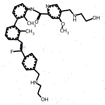 COc1cc(C(=O)Nc2cccc(-c3cccc(/C=C(\F)c4ccc(CNCCO)cc4)c3C)c2C)ncc1CNCCO